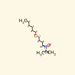 CCCCCCOCCCC=[N+]([O-])C(C)C